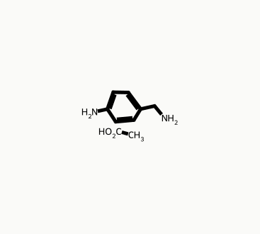 CC(=O)O.NCc1ccc(N)cc1